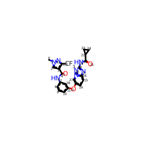 Cn1cc(C(=O)Nc2cccc(Oc3ccc4nc(NC(=O)C5CC5)nn4c3)c2)c(C(F)(F)F)n1